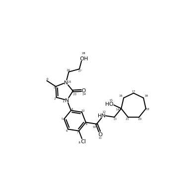 Cc1cn(-c2ccc(Cl)c(C(=O)NCC3(O)CCCCCC3)c2)c(=O)n1CCO